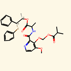 COc1ccnc(C(=O)NC(C)C(=O)O[C@@H](C)[C@H](Sc2ccccc2)c2ccccc2)c1OCOC(=O)C(C)C